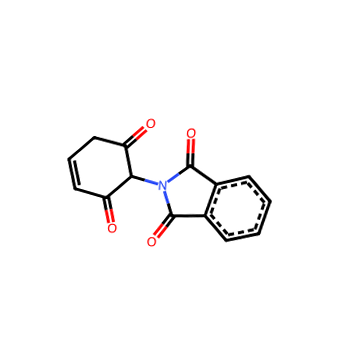 O=C1C=CCC(=O)C1N1C(=O)c2ccccc2C1=O